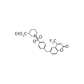 CCOC(=O)C1CCCN(S(=O)(=O)c2ccc(Cc3ccc4oc(=O)cc(C(F)(F)F)c4c3)cc2)C1